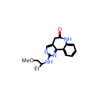 CCC(COC)Nc1ncc2c(n1)-c1ccccc1NC(=O)C2